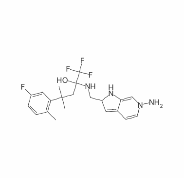 Cc1ccc(F)cc1C(C)(C)CC(O)(NCC1C=C2C=CN(N)C=C2N1)C(F)(F)F